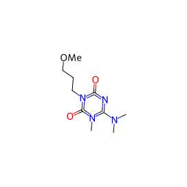 COCCCn1c(=O)nc(N(C)C)n(C)c1=O